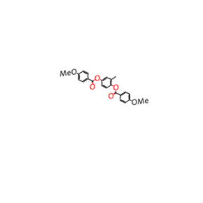 COc1ccc(C(=O)Oc2ccc(OC(=O)c3ccc(OC)cc3)c(C)c2)cc1